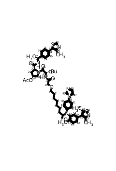 CCCCCCCCC(CCCCCCCOCC(=O)N[C@H](C(=O)N1C[C@H](OC(C)=O)C[C@H]1C(=O)N[C@@H](C)c1ccc(-c2scnc2C)cc1)C(C)(C)C)N(c1ccc(-n2ccnc2)cc1)c1cc(-c2c(C)noc2C)ccc1C